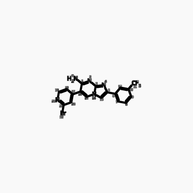 Nc1nc2nc(-c3cccc(C(F)(F)F)c3)cn2cc1-c1ccnc(Br)c1